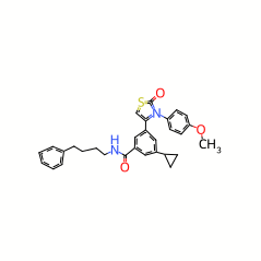 COc1ccc(-n2c(-c3cc(C(=O)NCCCCc4ccccc4)cc(C4CC4)c3)csc2=O)cc1